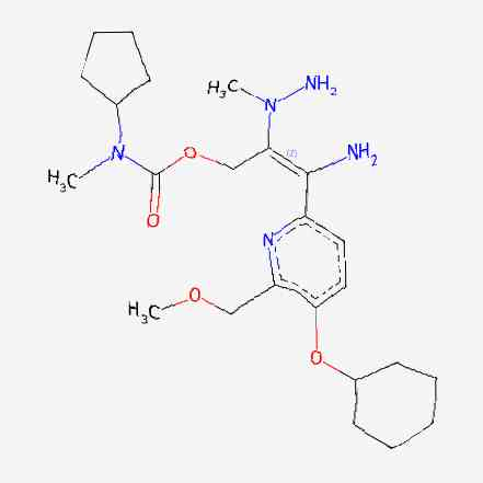 COCc1nc(/C(N)=C(\COC(=O)N(C)C2CCCC2)N(C)N)ccc1OC1CCCCC1